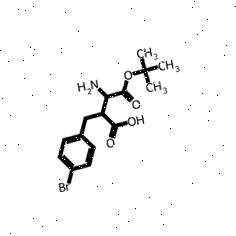 CC(C)(C)OC(=O)C(N)C(Cc1ccc(Br)cc1)C(=O)O